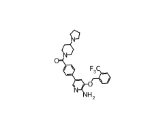 Nc1ncc(-c2ccc(C(=O)N3CCC(N4CCCC4)CC3)cc2)cc1OCc1ccccc1C(F)(F)F